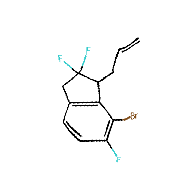 C=CCC1c2c(ccc(F)c2Br)CC1(F)F